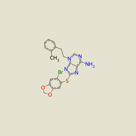 Cc1ccccc1CCn1cnc(N)c2nc(Sc3cc4c(cc3Br)OCO4)nc1-2